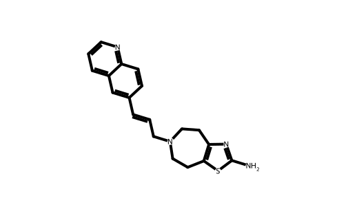 Nc1nc2c(s1)CCN(C/C=C/c1ccc3ncccc3c1)CC2